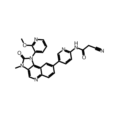 COc1ncccc1-n1c(=O)n(C)c2cnc3ccc(-c4ccc(NC(=O)CC#N)nc4)cc3c21